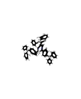 C/C(=C\C(=C/Cc1ccc(N(c2ccccc2)c2ccccc2)cc1)c1nc2ccccc2n1-c1ccccc1)c1ccc(N(c2ccccc2)c2ccccc2)cc1